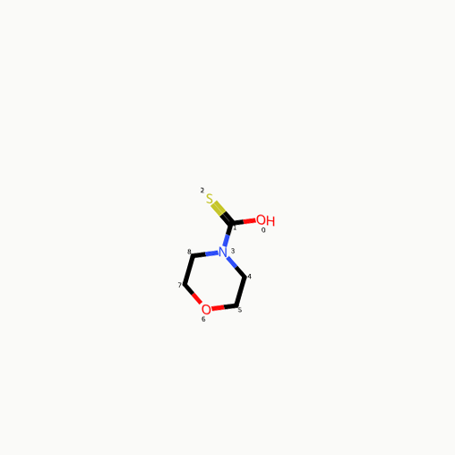 OC(=S)N1CCOCC1